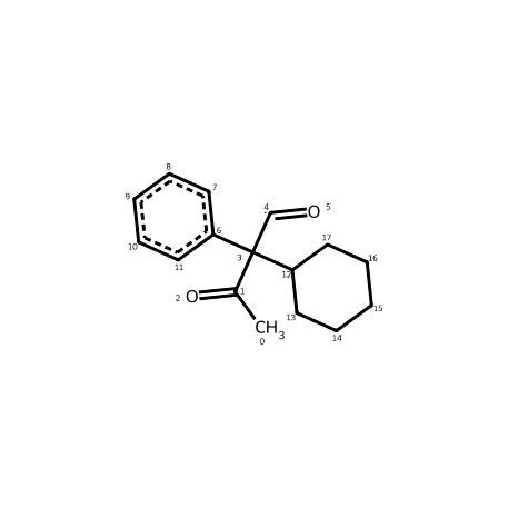 CC(=O)C([C]=O)(c1ccccc1)C1CCCCC1